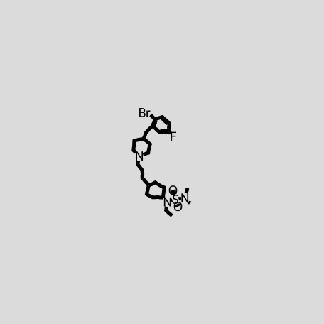 CCN(C1CCC(CCCN2CCC(Cc3cc(F)ccc3Br)CC2)CC1)S(=O)(=O)N(C)C